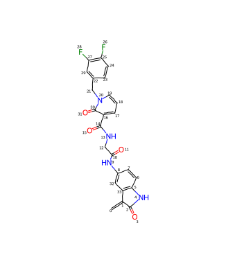 C=C1C(=O)Nc2ccc(NC(=O)CNC(=O)c3cccn(Cc4ccc(F)c(F)c4)c3=O)cc21